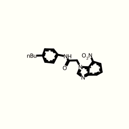 CCCCc1ccc(NC(=O)Cn2cnc3cccc([N+](=O)[O-])c32)cc1